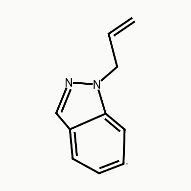 C=CCn1ncc2cc[c]cc21